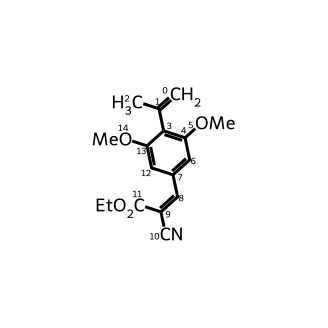 C=C(C)c1c(OC)cc(C=C(C#N)C(=O)OCC)cc1OC